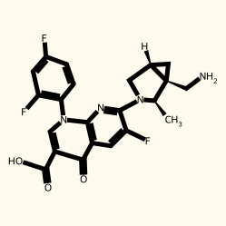 C[C@H]1N(c2nc3c(cc2F)c(=O)c(C(=O)O)cn3-c2ccc(F)cc2F)C[C@@H]2C[C@@]21CN